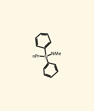 CCC[Si](NC)(c1ccccc1)c1ccccc1